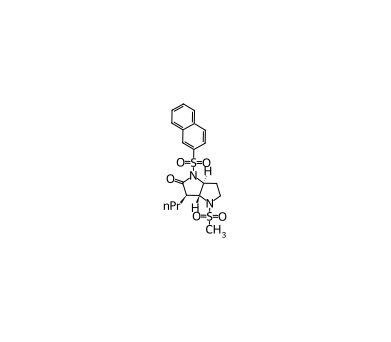 CCC[C@H]1C(=O)N(S(=O)(=O)c2ccc3ccccc3c2)[C@H]2CCN(S(C)(=O)=O)[C@H]12